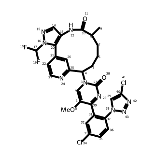 COc1cn(C2CCCC(C)C(=O)Nc3cnn(C(F)F)c3-c3ccnc2c3)c(=O)nc1-c1cc(Cl)ccc1-n1cc(Cl)nn1